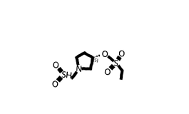 CCS(=O)(=O)O[C@H]1CCN(C[SH](=O)=O)C1